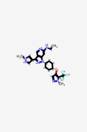 CCNc1cc2c(cn1)c(-c1cnn(C)c1)nn2[C@H]1CC[C@@H](Oc2cnn(C)c2C(F)(F)F)CC1